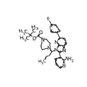 C=CCC(N1CCN(C(=O)OC(C)(C)C)CC1)n1c(-c2cccnc2N)nc2ccc(-c3ccc(F)cc3)nc21